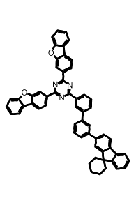 c1cc(-c2cccc(-c3nc(-c4ccc5c(c4)oc4ccccc45)nc(-c4ccc5c(c4)oc4ccccc45)n3)c2)cc(-c2ccc3c(c2)C2(CCCCC2)c2ccccc2-3)c1